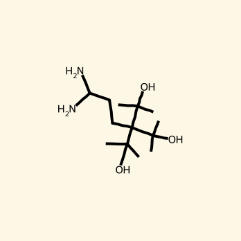 CC(C)(O)C(CCC(N)N)(C(C)(C)O)C(C)(C)O